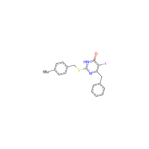 CC(C)(C)c1ccc(CSc2nc(Cc3ccccc3)c(I)c(=O)[nH]2)cc1